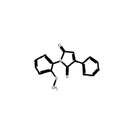 COc1ccccc1N1C(=O)C=C(c2ccccc2)C1=O